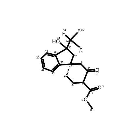 COC(=O)C1CC[C@@]2(CC1=O)CC(O)(C(F)(F)F)c1ccccc12